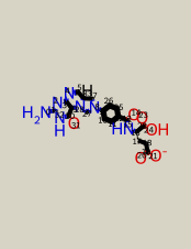 NC1=[N+]=C2N=C[C@@H]3CN(c4ccc(C(=O)N[C@@H](CCC(=O)[O-])C(=O)O)cc4)CN3C2C(=O)N1